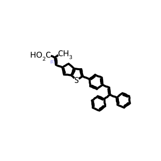 C/C(=C\C1=Cc2sc(-c3ccc(C=C(c4ccccc4)c4ccccc4)cc3)cc2C1)C(=O)O